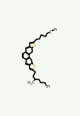 CC(C)CCCCCCC1=CC2=Cc3ccc4c(c3CC2S1)CC1SC(CCC(C)CCCC(C)C)=CC1=C4